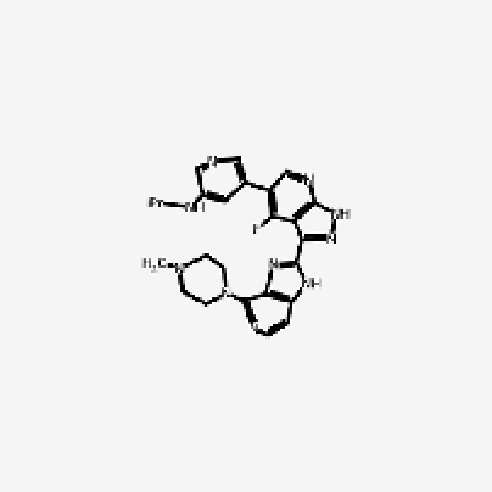 CC(C)Nc1cncc(-c2cnc3[nH]nc(-c4nc5c(N6CCN(C)CC6)nccc5[nH]4)c3c2F)c1